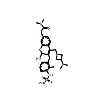 CNS(=O)(=O)Nc1cccc(CC2=C(CN3CC(N(C)C)C3)c3ccc(OC(=O)N(C)C)cc3OC2O)c1F